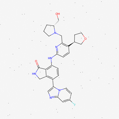 O=C1NCc2c(-c3cnc4cc(F)ccn34)ccc(Nc3ccc([C@H]4CCOC4)c(CN4CCC[C@@H]4CO)n3)c21